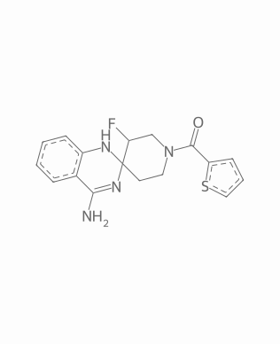 NC1=NC2(CCN(C(=O)c3cccs3)CC2F)Nc2ccccc21